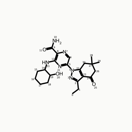 CCc1nn(-c2cnc(C(N)=O)c(NC3CCCCC3O)n2)c2c1C(=O)CC(C)(C)C2